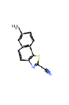 Cc1ccc2c(ccc3nc(C#N)sc32)c1